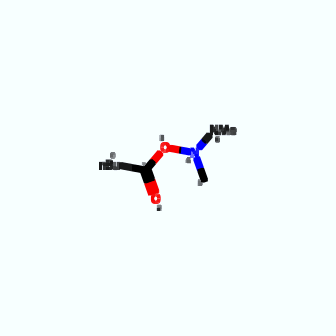 CCCCC(=O)ON(C)NC